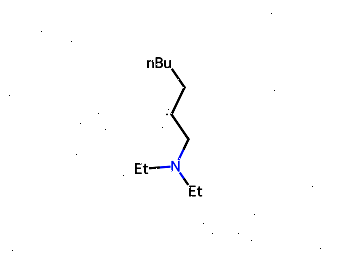 CCCCC[CH]CN(CC)CC